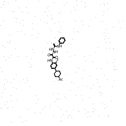 C=C(NNC(=O)C(=O)Nc1ccc(C2CCC(C(C)=O)CC2)cc1F)Nc1ccccc1